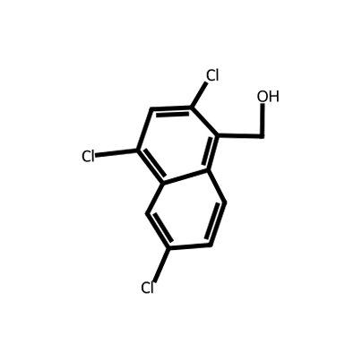 OCc1c(Cl)cc(Cl)c2cc(Cl)ccc12